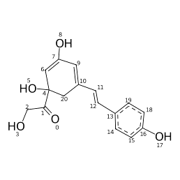 O=C(CO)C1(O)C=C(O)C=C(C=Cc2ccc(O)cc2)C1